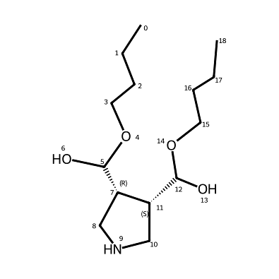 CCCCOC(O)[C@H]1CNC[C@H]1C(O)OCCCC